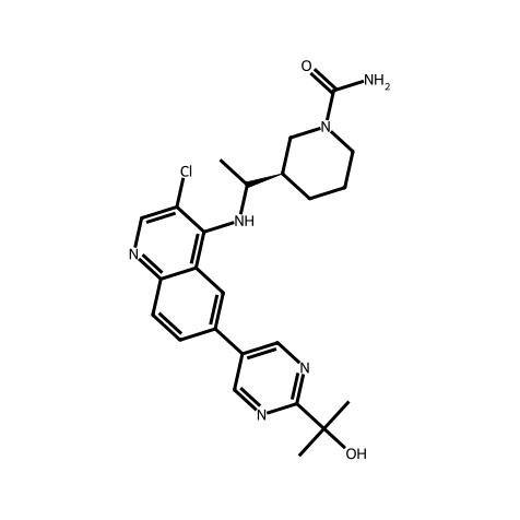 CC(Nc1c(Cl)cnc2ccc(-c3cnc(C(C)(C)O)nc3)cc12)[C@@H]1CCCN(C(N)=O)C1